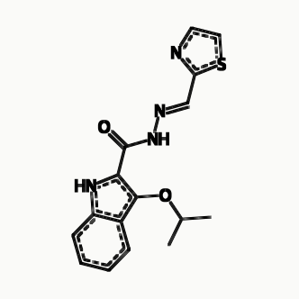 CC(C)Oc1c(C(=O)NN=Cc2nccs2)[nH]c2ccccc12